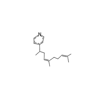 CC(C)=CCCC(C)=CCC(C)c1ccncc1